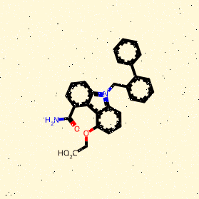 NC(=O)c1cccc2c1c1c(OCC(=O)O)cccc1n2Cc1ccccc1-c1ccccc1